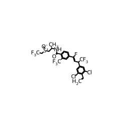 C=Cc1c(Cl)cc(C(/C=C(\F)c2ccc(C(=O)N[C@H](C)C[S+]([O-])CC(F)(F)F)c(C(F)(F)F)c2)C(F)(F)F)cc1Cl